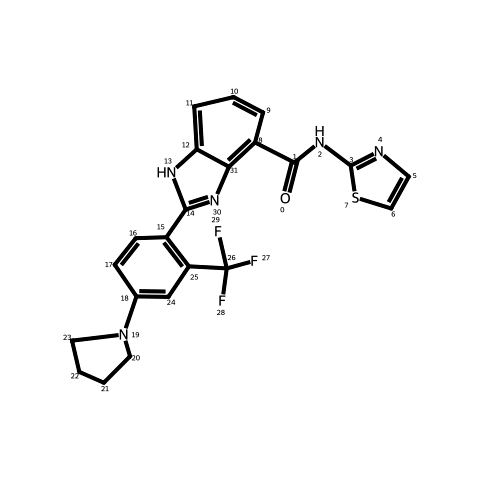 O=C(Nc1nccs1)c1cccc2[nH]c(-c3ccc(N4CCCC4)cc3C(F)(F)F)nc12